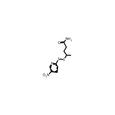 CC(CCC(N)=O)SSc1ccc([N+](=O)[O-])cn1